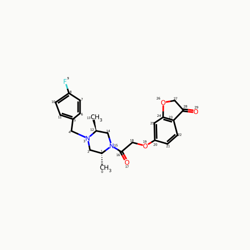 C[C@@H]1CN(Cc2ccc(F)cc2)[C@@H](C)CN1C(=O)COc1ccc2c(c1)OCC2=O